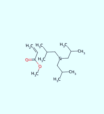 C=CC(=O)OC.CC(C)C[Si](CC(C)C)CC(C)C